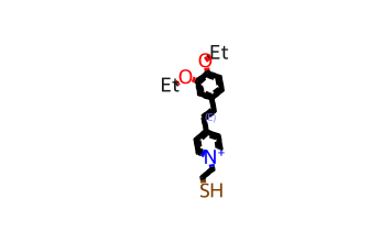 CCOc1ccc(/C=C/c2cc[n+](CCS)cc2)cc1OCC